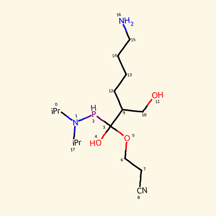 CC(C)N(PC(O)(OCCC#N)C(CO)CCCCN)C(C)C